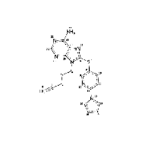 C#CCCCn1c(Sc2ccc(-n3cccc3)cc2)nc2c(N)ncnc21